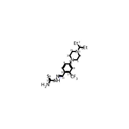 CCC(CC)N1CCN(c2ccc(/C=N/NC(N)=S)c(C(F)(F)F)c2)CC1